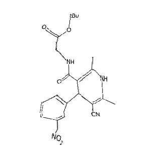 CC1=C(C#N)C(c2cccc([N+](=O)[O-])c2)C(C(=O)NCC(=O)OC(C)(C)C)=C(C)N1